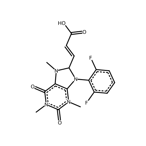 CN1c2c(n(C)c(=O)n(C)c2=O)N(c2c(F)cccc2F)C1/C=C/C(=O)O